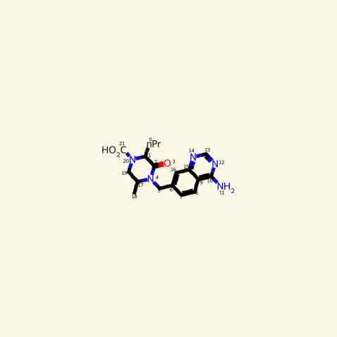 CCCC1C(=O)N(Cc2ccc3c(N)ncnc3c2)C(C)CN1C(=O)O